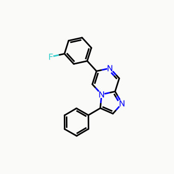 Fc1cccc(-c2cn3c(-c4ccccc4)cnc3cn2)c1